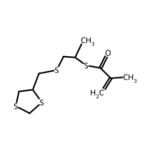 C=C(C)C(=O)SC(C)CSCC1CSCS1